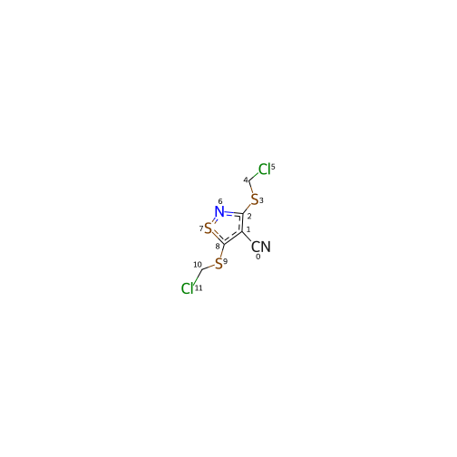 N#Cc1c(SCCl)nsc1SCCl